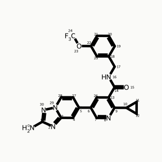 Nc1nc2cc(-c3cnc(C4CC4)c(C(=O)NCc4cccc(OC(F)(F)F)c4)c3)ccn2n1